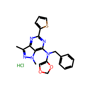 Cc1nn(C)c2c(N(Cc3ccccc3)C3=COCO3)nc(-c3cccs3)nc12.Cl